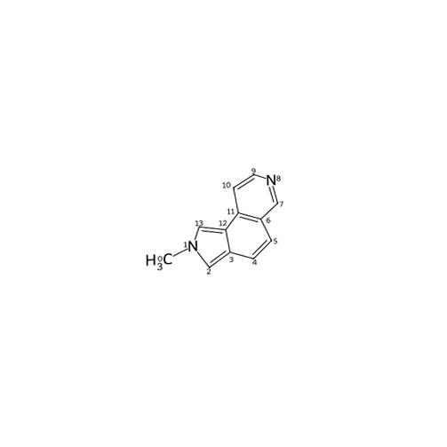 Cn1cc2ccc3cnccc3c2c1